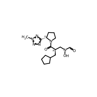 Cn1nnc([C@@H]2CCCN2C(=O)[C@H](CC2CCCC2)CN(O)C=O)n1